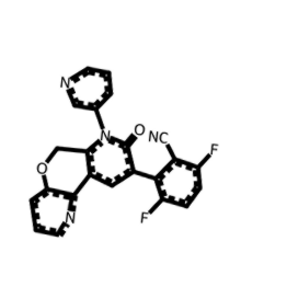 N#Cc1c(F)ccc(F)c1-c1cc2c(n(-c3cccnc3)c1=O)COc1cccnc1-2